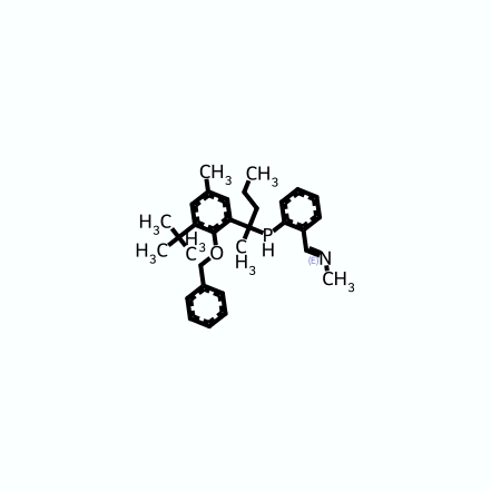 CCCC(C)(Pc1ccccc1/C=N/C)c1cc(C)cc(C(C)(C)C)c1OCc1ccccc1